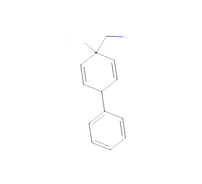 NCC1(C(=O)O)C=CC(c2ccccc2)C=C1